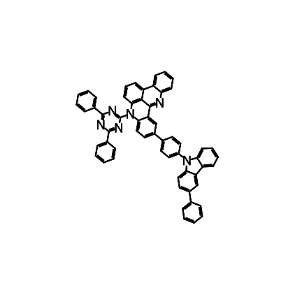 c1ccc(-c2ccc3c(c2)c2ccccc2n3-c2ccc(-c3ccc4c(c3)-c3nc5ccccc5c5cccc(c35)N4c3nc(-c4ccccc4)nc(-c4ccccc4)n3)cc2)cc1